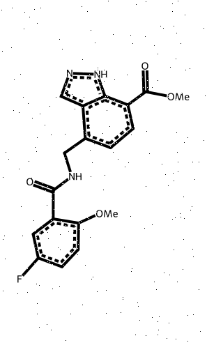 COC(=O)c1ccc(CNC(=O)c2cc(F)ccc2OC)c2cn[nH]c12